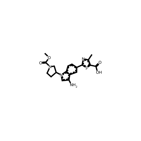 COC(=O)N1CCC(n2cc(N)c3cc(-c4nc(C)c(C(=O)O)s4)ccc32)C1